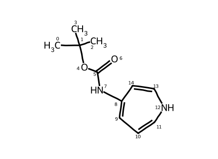 CC(C)(C)OC(=O)NC1=CC=CNC=C1